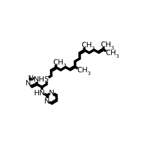 CC(C)=CCCC(C)=CCCC(C)=CCCC(C)=CCSCC(Nc1ncccn1)c1cnn[nH]1